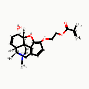 C=C(C)C(=O)OCCOc1ccc2c3c1O[C@H]1[C@@H](O)C=C[C@H]4[C@@H](C2)N(C)CC[C@@]341